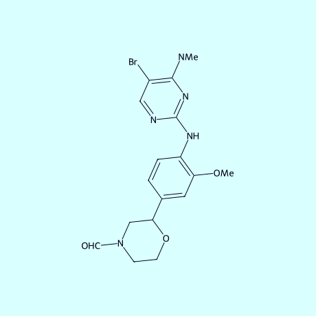 CNc1nc(Nc2ccc(C3CN(C=O)CCO3)cc2OC)ncc1Br